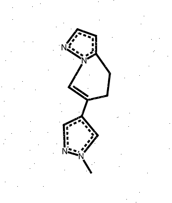 Cn1cc(C2=Cn3nccc3CC2)cn1